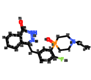 CC(C)CN1CCP(=O)(c2cc(Cc3n[nH]c(=O)c4ccccc34)ccc2F)CC1